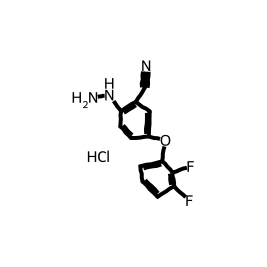 Cl.N#Cc1cc(Oc2cccc(F)c2F)ccc1NN